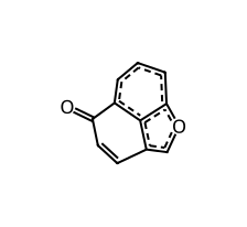 O=C1C=Cc2coc3cccc1c23